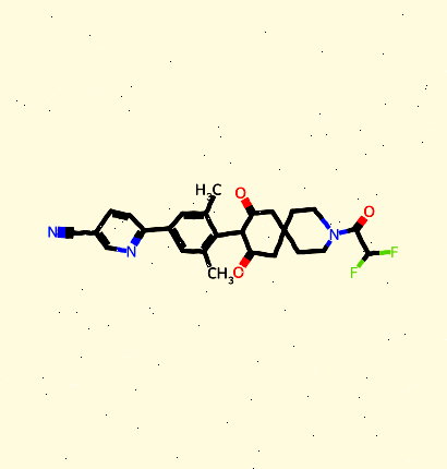 Cc1cc(-c2ccc(C#N)cn2)cc(C)c1C1C(=O)CC2(CCN(C(=O)C(F)F)CC2)CC1=O